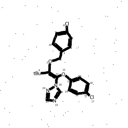 CC(C)(C)C(OCc1ccc(Cl)cc1)=C(Oc1ccc(Cl)cc1)n1cncn1